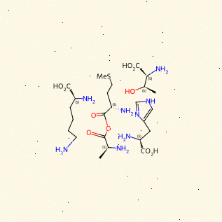 CSCC[C@H](N)C(=O)OC(=O)[C@H](C)N.C[C@@H](O)[C@H](N)C(=O)O.NCCCC[C@H](N)C(=O)O.N[C@@H](Cc1c[nH]cn1)C(=O)O